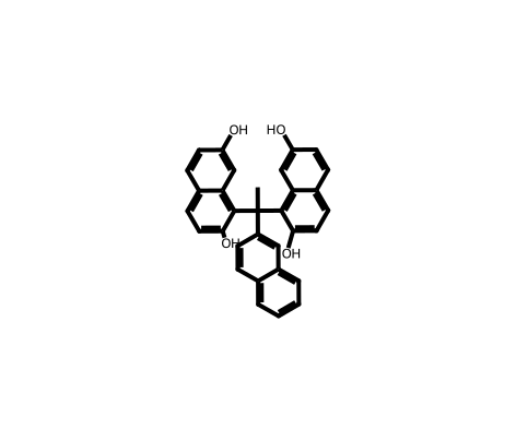 CC(c1ccc2ccccc2c1)(c1c(O)ccc2ccc(O)cc12)c1c(O)ccc2ccc(O)cc12